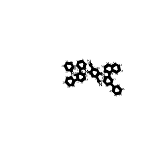 N#Cc1cc(-n2c3ccccc3c3c2ccc2c4ccccc4n(-c4ccccc4)c23)c(C#N)cc1-n1c2ccc(-c3ccccc3)cc2c2c3ccccc3ccc21